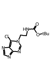 CC(C)(C)OC(=O)NCCn1cnc2ncnc-2c1Cl